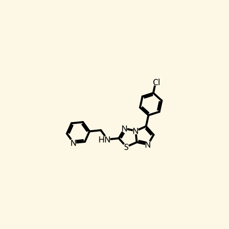 Clc1ccc(-c2cnc3sc(NCc4cccnc4)nn23)cc1